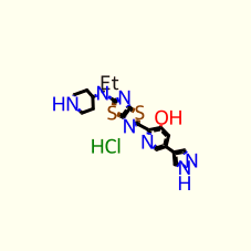 CCN(c1nc2sc(-c3ncc(-c4cn[nH]c4)cc3O)nc2s1)C1CCNCC1.Cl